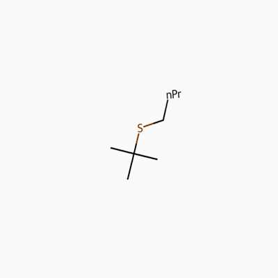 CCCCSC(C)(C)C